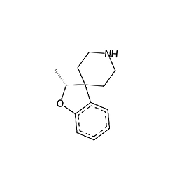 C[C@H]1Oc2ccccc2C12CCNCC2